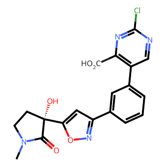 CN1CC[C@@](O)(c2cc(-c3cccc(-c4cnc(Cl)nc4C(=O)O)c3)no2)C1=O